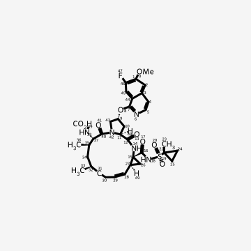 COc1cc2ccnc(O[C@@H]3C[C@H]4C(=O)N[C@]5(C(=O)NS(=O)(=O)C6(C)CC6)C[C@H]5/C=C\CC[C@@H](C)C[C@@H](C)[C@H](NC(=O)O)C(=O)N4C3)c2cc1F